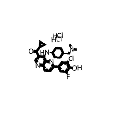 CN(C)C[C@H]1CC[C@H](Nc2c(C(=O)C3CC3)cnc3ccc(-c4cc(F)c(O)c(Cl)c4)nc23)CC1.Cl.Cl